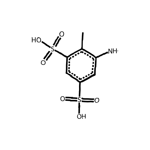 Cc1c([NH])cc(S(=O)(=O)O)cc1S(=O)(=O)O